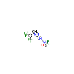 C=C(NCC1CCN(CCNC(=O)C2(C(F)(F)F)CC2)CC1)c1cc(C(F)(F)F)cc(C(F)(F)F)c1